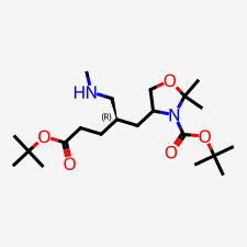 CNC[C@H](CCC(=O)OC(C)(C)C)CC1COC(C)(C)N1C(=O)OC(C)(C)C